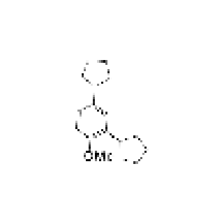 [CH2]Oc1ccc(C2CCCC2)cc1C1CCCC1